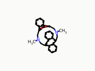 CN1Cc2c3c(c(c4ccccc24)CN(C)Cc2c4ccccc4c(c4ccccc24)C1)=CCCC=3